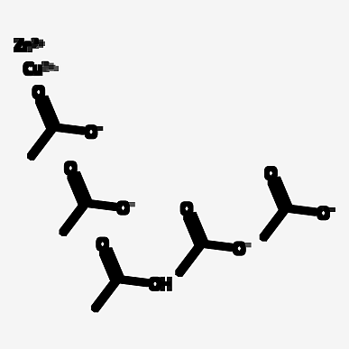 CC(=O)O.CC(=O)[O-].CC(=O)[O-].CC(=O)[O-].CC(=O)[O-].[Cu+2].[Zn+2]